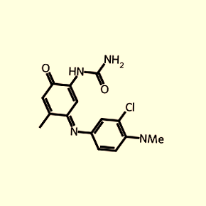 CNc1ccc(N=C2C=C(NC(N)=O)C(=O)C=C2C)cc1Cl